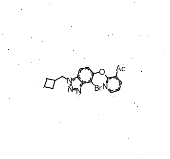 CC(=O)c1cccnc1Oc1ccc2c(nnn2CC2CCC2)c1Br